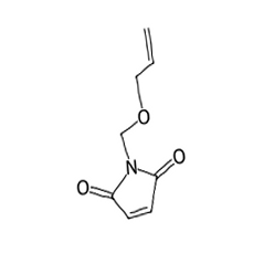 C=CCOCN1C(=O)C=CC1=O